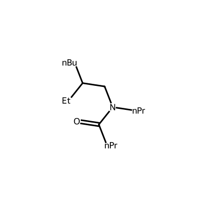 CCCCC(CC)CN(CCC)C(=O)CCC